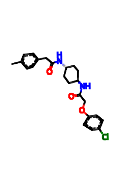 Cc1ccc(CC(=O)N[C@H]2CC[C@H](NC(=O)COc3ccc(Cl)cc3)CC2)cc1